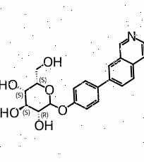 OC[C@@H]1OC(Oc2ccc(-c3ccc4ccncc4c3)cc2)[C@H](O)[C@@H](O)[C@@H]1O